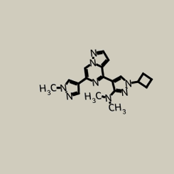 CN(C)c1nn(C2CCC2)cc1-c1nc(-c2cnn(C)c2)cn2nccc12